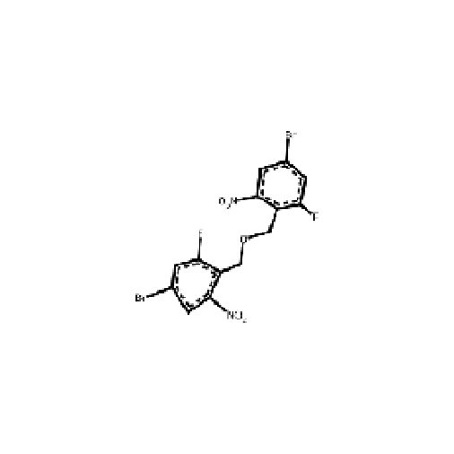 O=[N+]([O-])c1cc(Br)cc(F)c1COCc1c(F)cc(Br)cc1[N+](=O)[O-]